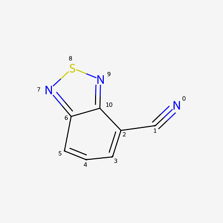 N#Cc1cccc2nsnc12